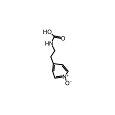 O=C(O)NCCc1cc[n+]([O-])cc1